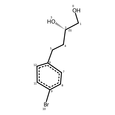 OC[C@@H](O)CCc1ccc(Br)cc1